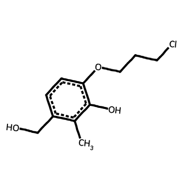 Cc1c(CO)ccc(OCCCCl)c1O